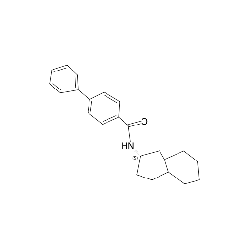 O=C(N[C@H]1CCC2CCCCC2C1)c1ccc(-c2ccccc2)cc1